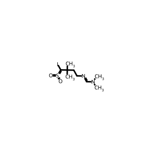 CN(C)C=NCCC(C)(C)C(I)=S(=O)=O